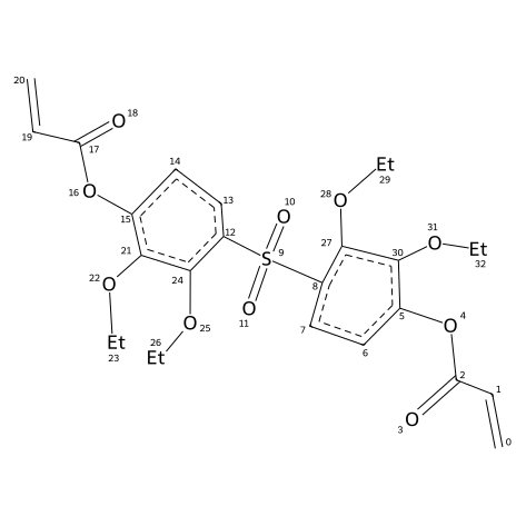 C=CC(=O)Oc1ccc(S(=O)(=O)c2ccc(OC(=O)C=C)c(OCC)c2OCC)c(OCC)c1OCC